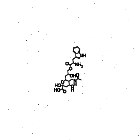 CC(=O)NCC1C(O)CC(O)(C(=O)O)OC1C[C@H](O)COC(=O)[C@H](N)Cc1c[nH]c2ccccc12